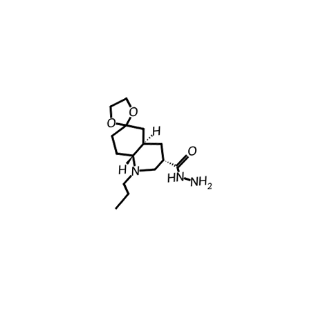 CCCN1C[C@@H](C(=O)NN)C[C@@H]2CC3(CC[C@H]21)OCCO3